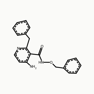 Nc1ccnc(Cc2ccccc2)c1C(=O)NOCc1ccccc1